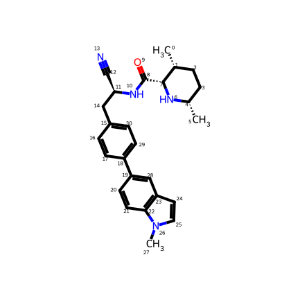 C[C@@H]1CC[C@H](C)N[C@@H]1C(=O)N[C@H](C#N)Cc1ccc(-c2ccc3c(ccn3C)c2)cc1